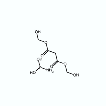 NP(O)O.O=C(CC(=O)OCO)OCO